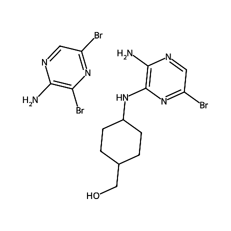 Nc1ncc(Br)nc1Br.Nc1ncc(Br)nc1NC1CCC(CO)CC1